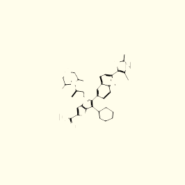 C=C(Cn1c(-c2ccc3nc(-c4sc(C)nc4C)ccc3c2)c(C2CCCCC2)c2sc(C(=O)O)cc21)N1C(C)COCC1C